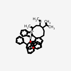 C=NC1CC(=C)[n+]2c(n(-c3c(-c4ccccc4)ccc4ccccc34)c3ccccc32)-c2c(ccc3c2oc2ccccc23)CCC1C(=C)C